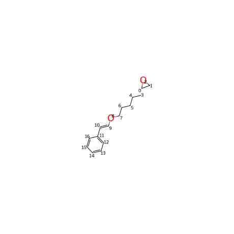 C1CO1.CCCCCOC=Cc1ccccc1